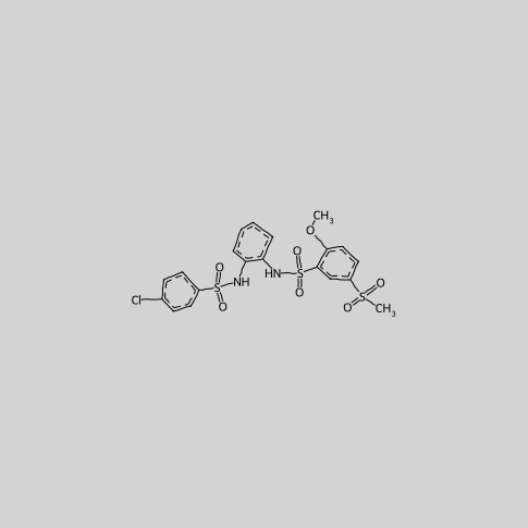 COc1ccc(S(C)(=O)=O)cc1S(=O)(=O)Nc1ccccc1NS(=O)(=O)c1ccc(Cl)cc1